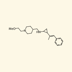 COCCN1CCC(CNC2CC2/C(C)=C/c2ccccc2)CC1